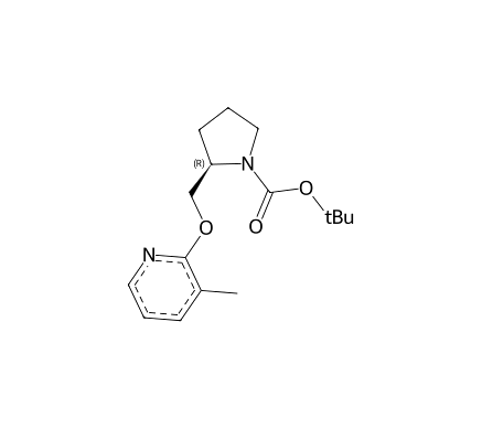 Cc1cccnc1OC[C@H]1CCCN1C(=O)OC(C)(C)C